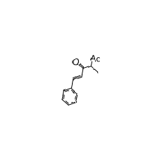 CC(=O)C(C)C(=O)/C=C/c1ccccc1